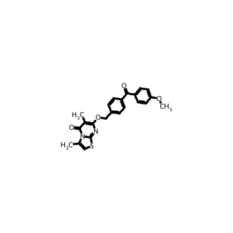 COc1ccc(C(=O)c2ccc(COc3nc4scc(C)n4c(=O)c3C)cc2)cc1